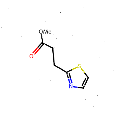 COC(=O)[CH]Cc1nccs1